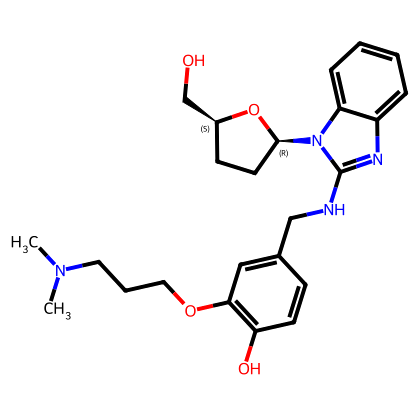 CN(C)CCCOc1cc(CNc2nc3ccccc3n2[C@H]2CC[C@@H](CO)O2)ccc1O